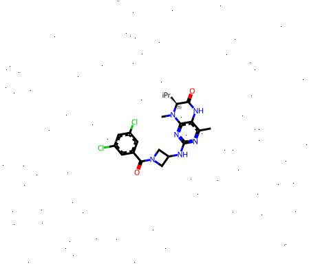 Cc1nc(NC2CN(C(=O)c3cc(Cl)cc(Cl)c3)C2)nc2c1NC(=O)[C@H](C(C)C)N2C